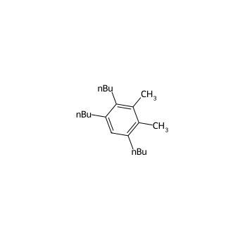 CCCCc1cc(CCCC)c(CCCC)c(C)c1C